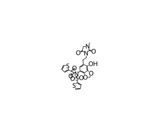 CN1CC(=O)N(CCc2cc(N(S(=O)(=O)c3cccs3)S(=O)(=O)c3cccs3)c3c(c2O)OCO3)C1=O